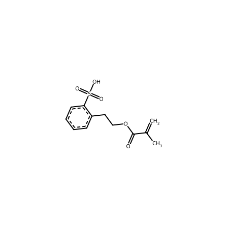 C=C(C)C(=O)OCCc1ccccc1S(=O)(=O)O